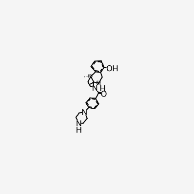 CC1(C)[C@H]2Cc3c(O)cccc3[C@]1(C)CCN2C(=O)c1ccc(N2CCNCC2)cc1